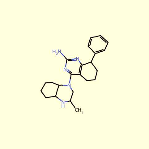 CC1CN(c2nc(N)nc3c2CCCC3c2ccccc2)C2CCCCC2N1